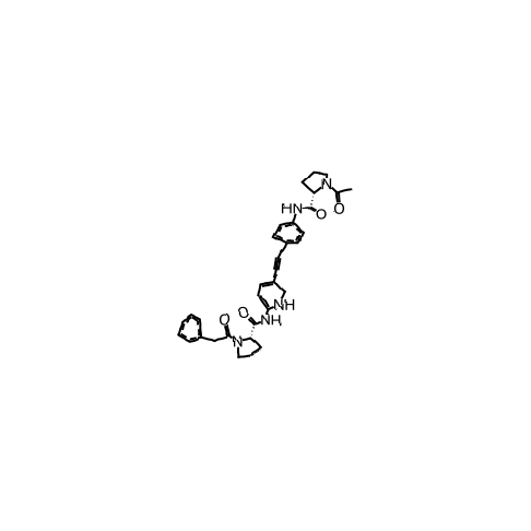 CC(=O)N1CCC[C@H]1C(=O)Nc1ccc(C#CC2=CC=C(NC(=O)[C@@H]3CCCN3C(=O)Cc3ccccc3)NC2)cc1